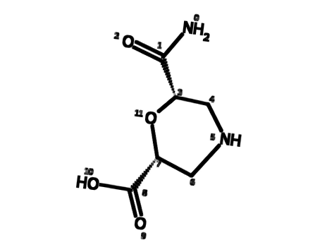 NC(=O)[C@@H]1CNC[C@H](C(=O)O)O1